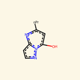 CCCc1cc(O)n2nccc2n1